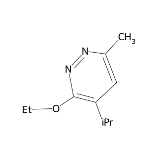 CCOc1nnc(C)cc1C(C)C